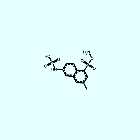 Cc1cc(S(=O)(=O)ON)c2ccc(NS(=O)(=O)O)cc2c1